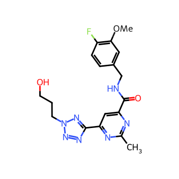 COc1cc(CNC(=O)c2cc(-c3nnn(CCCO)n3)nc(C)n2)ccc1F